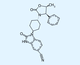 C[C@@H]1OC(=O)N([C@H]2CC[C@H](n3c(=O)[nH]c4cc(C#N)ccc43)CC2)[C@@H]1c1ccccc1